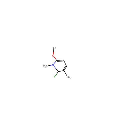 CCOC1=CC=C(C)C(F)N1C